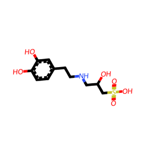 O=S(=O)(O)CC(O)CNCCc1ccc(O)c(O)c1